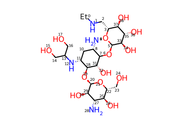 CCNC[C@H]1O[C@H](OC2[C@@H](N)C[C@@H](NC(CO)CO)[C@H](O[C@H]3O[C@H](CO)[C@@H](O)[C@H](N)[C@H]3O)[C@H]2O)[C@H](O)[C@@H](O)[C@@H]1O